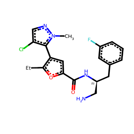 CCc1oc(C(=O)N[C@H](CN)Cc2cccc(F)c2)cc1-c1c(Cl)cnn1C